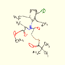 COC(=O)C(C)N(C(=O)CSC(=O)C(C)(C)C)c1c(C)ccc(Cl)c1C